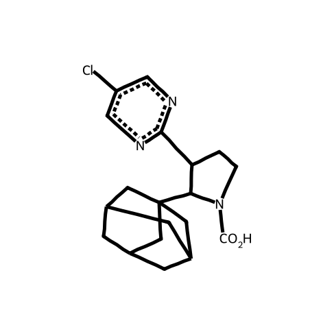 O=C(O)N1CCC(c2ncc(Cl)cn2)C1C12CC3CC(CC(C3)C1)C2